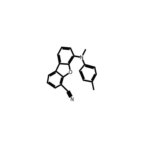 Cc1ccc(N(C)c2cccc3c2oc2c(C#N)cccc23)cc1